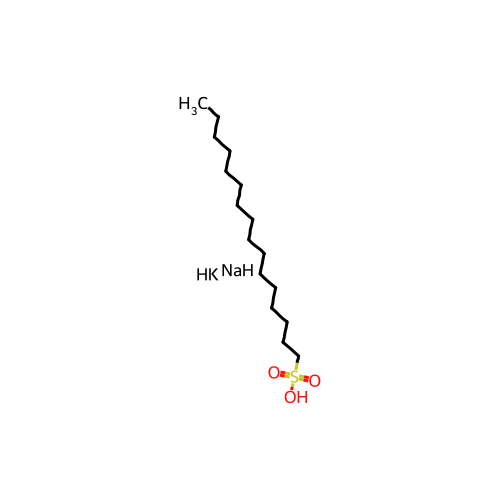 CCCCCCCCCCCCCCCCS(=O)(=O)O.[KH].[NaH]